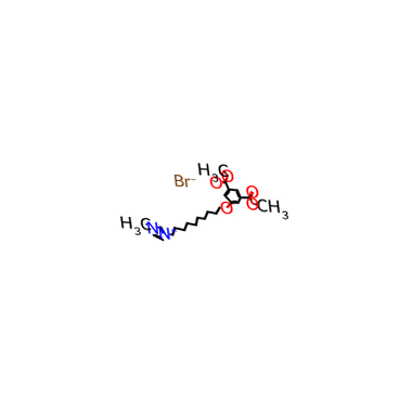 COC(=O)c1cc(OCCCCCCCCCC[n+]2ccn(C)c2)cc(C(=O)OC)c1.[Br-]